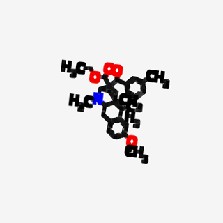 CCOC(=O)C1(C(=O)c2cccc(C)c2)CC2(C)C3Cc4ccc(OC)cc4C2(C)CC1N3C